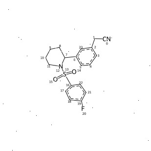 N#CCc1cccc(C2CCCCN2S(=O)(=O)c2ccc(F)cc2)c1